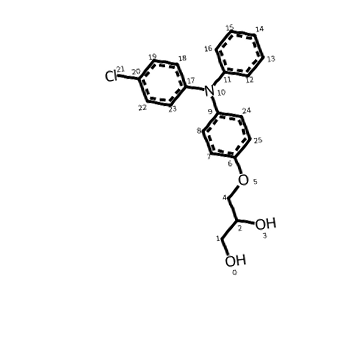 OCC(O)COc1ccc(N(c2ccccc2)c2ccc(Cl)cc2)cc1